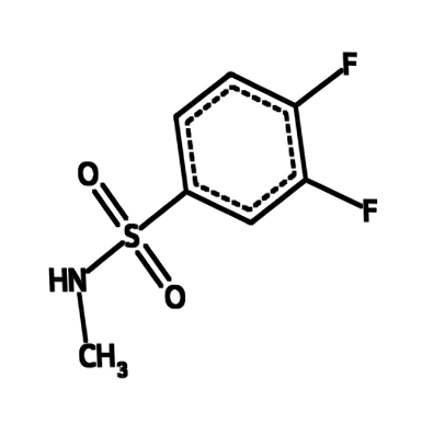 CNS(=O)(=O)c1ccc(F)c(F)c1